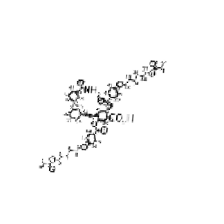 C=CC(=O)OCCCCCCOc1ccc(C(=O)Oc2cc(C(=O)O)c(OC(=O)c3ccc(OCCCCCCOC(=O)C=C)cc3)cc2C#Cc2ccccc2)cc1.NC(=O)c1ccccc1